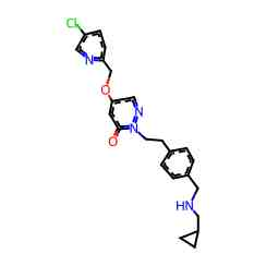 O=c1cc(OCc2ccc(Cl)cn2)cnn1CCc1ccc(CNCC2CC2)cc1